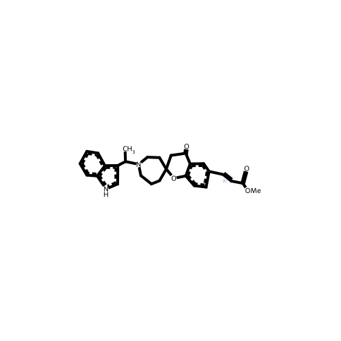 COC(=O)/C=C/c1ccc2c(c1)C(=O)CC1(CCCN(C(C)c3c[nH]c4ccccc34)CC1)O2